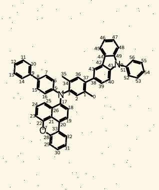 Cc1cc(N(c2ccc(-c3ccccc3)cc2)c2ccc3c4c(cccc24)Oc2ccccc2-3)c(C)cc1-c1ccc2c(c1)c1ccccc1n2-c1ccccc1